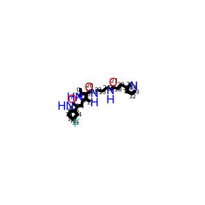 Cc1[nH]c(C=C2C(=O)Nc3ccc(F)cc32)c(C)c1C(=O)NCCCNC(=O)/C=C/c1cccnc1